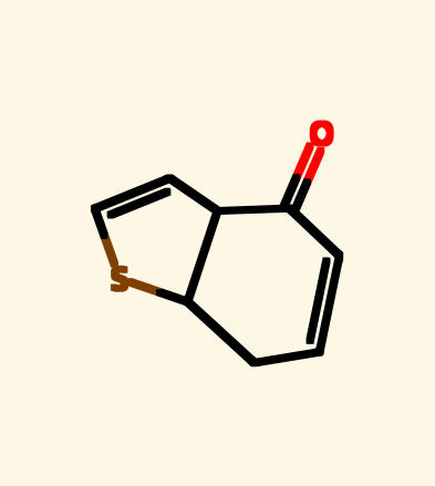 O=C1C=CCC2SC=CC12